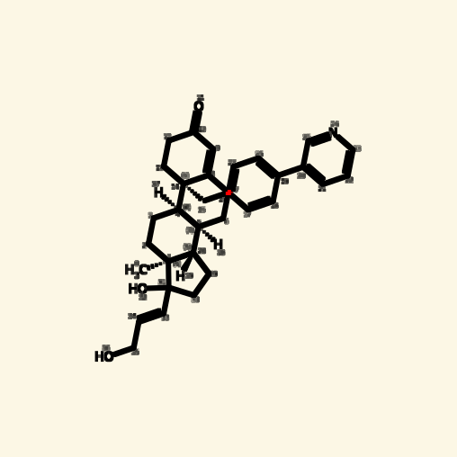 C[C@]12CC[C@@H]3[C@@H](CCC4=CC(=O)CC[C@@]43Cc3ccc(-c4cccnc4)cc3)[C@@H]1CCC2(O)C=CCO